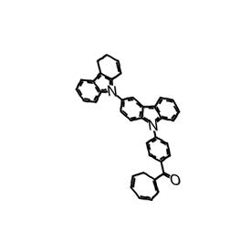 O=C(C1=CC=CC=CC1)c1ccc(-n2c3ccccc3c3cc(-n4c5c(c6ccccc64)CCC=C5)ccc32)cc1